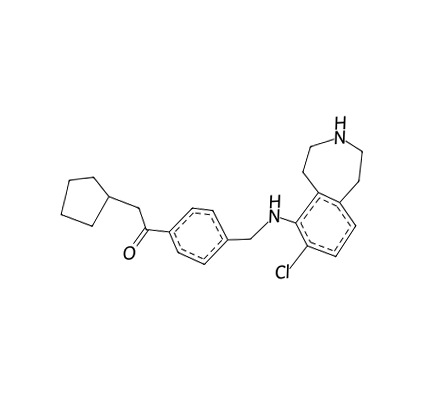 O=C(CC1CCCC1)c1ccc(CNc2c(Cl)ccc3c2CCNCC3)cc1